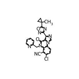 CC1(c2nc(-c3ncn4c3c(=O)n(Cc3ccccn3)c3c(C#N)c(Cl)ccc34)no2)CC1